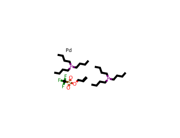 C=CCOS(=O)(=O)C(F)(F)F.CCCCP(CCCC)CCCC.CCCCP(CCCC)CCCC.[Pd]